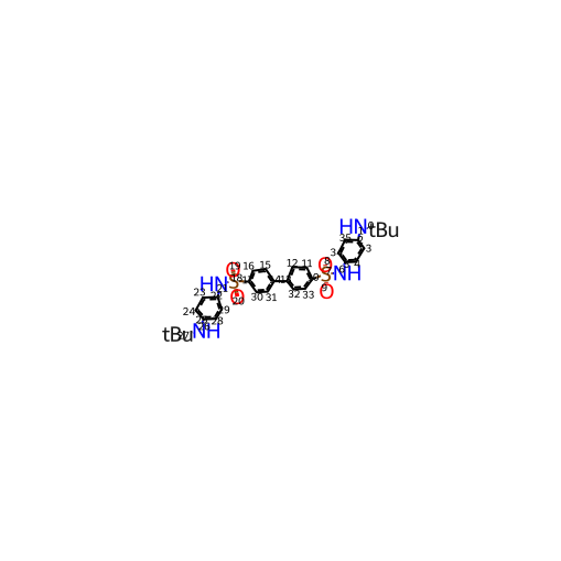 CC(C)(C)Nc1ccc(NS(=O)(=O)c2ccc(-c3ccc(S(=O)(=O)Nc4ccc(NC(C)(C)C)cc4)cc3)cc2)cc1